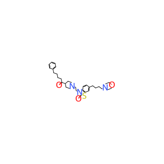 O=C(CCCCc1ccccc1)C1CCN(CCn2c(=O)sc3cc(CCCCN4CCOCC4)ccc32)CC1